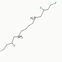 FCCC(F)C[SiH2]CCCC[SiH2]CC(F)CCF